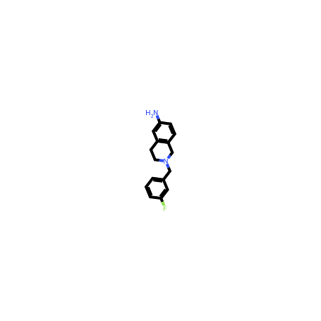 Nc1ccc2c(c1)CCN(Cc1cccc(F)c1)C2